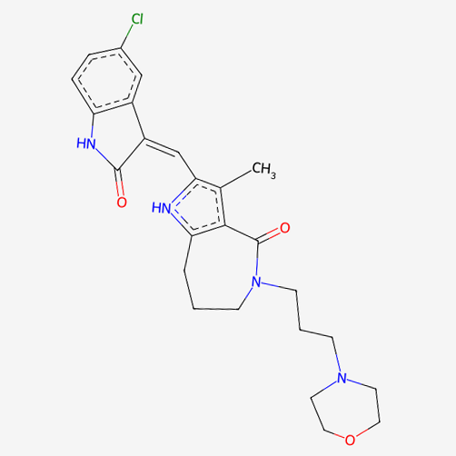 Cc1c(/C=C2\C(=O)Nc3ccc(Cl)cc32)[nH]c2c1C(=O)N(CCCN1CCOCC1)CCC2